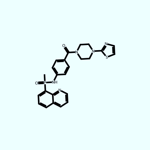 CP(=O)(Nc1ccc(C(=O)N2CCN(c3nccs3)CC2)cc1)c1cccc2cccnc12